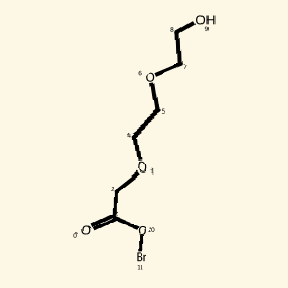 O=C(COCCOCCO)OBr